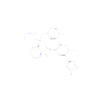 Cn1cc2c(n1)COc1c-2cc(C(N)=O)c(-c2c(Cl)c(F)cc3c2[C@H](O)[C@](c2ccccc2)([C@@H]2CCCN2)O3)c1F